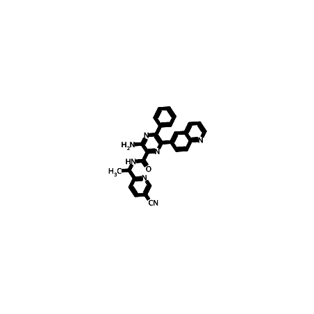 CC(NC(=O)c1nc(-c2ccc3ncccc3c2)c(-c2ccccc2)nc1N)c1ccc(C#N)cn1